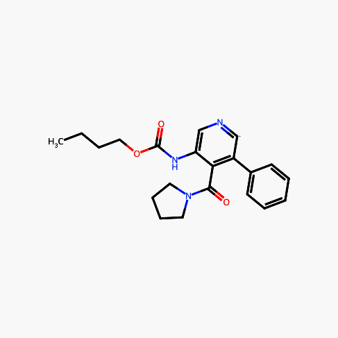 CCCCOC(=O)Nc1cn[c]c(-c2ccccc2)c1C(=O)N1CCCC1